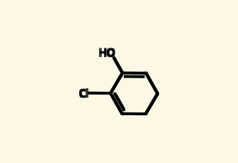 OC1=CCCC=C1Cl